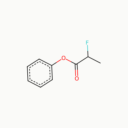 CC(F)C(=O)Oc1ccccc1